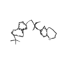 CC(C)(C)c1cnc2ccc(CC(C)(C)c3ccc4c(c3)CCCO4)cc2c1